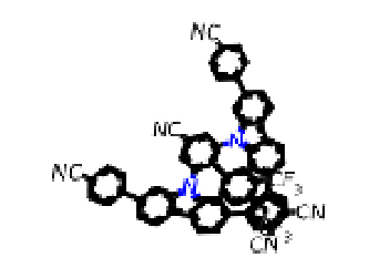 N#Cc1ccc(-c2ccc3c4ccc(-c5ccc(C#N)cc5)cc4n(-c4cc(C#N)cc(-n5c6cc(-c7ccc(C#N)cc7)ccc6c6ccc(-c7ccc(C#N)cc7)cc65)c4-c4ccc(CC(F)(F)F)c(C(F)(F)F)c4)c3c2)cc1